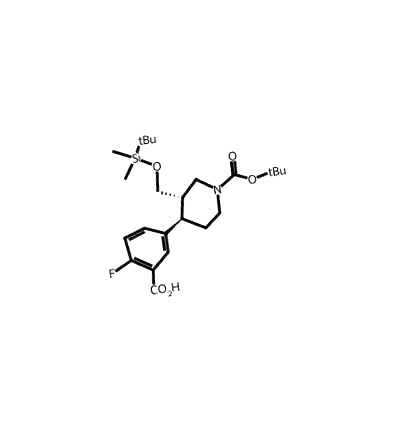 CC(C)(C)OC(=O)N1CC[C@@H](c2ccc(F)c(C(=O)O)c2)[C@H](CO[Si](C)(C)C(C)(C)C)C1